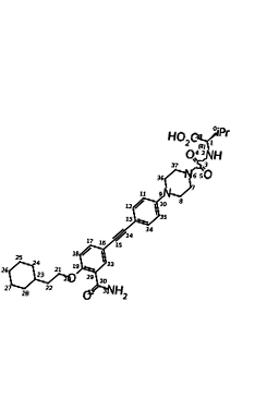 CC(C)[C@@H](NS(=O)(=O)N1CCN(c2ccc(C#Cc3ccc(OCCC4CCCCC4)c(C(N)=O)c3)cc2)CC1)C(=O)O